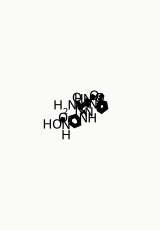 COc1ccccc1-n1c(=O)[nH]c2c(C(N)=O)nc(NC3CCC(NC(=O)O)CC3)nc21